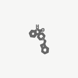 O=C1Nc2ccccc2C12CCN(CC1CC3CCC=CC31)CC2